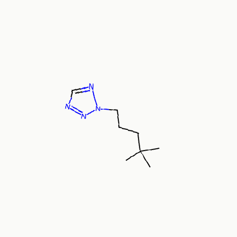 CC(C)(C)CCCn1ncnn1